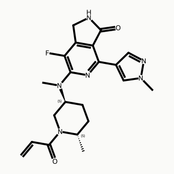 C=CC(=O)N1C[C@@H](N(C)c2nc(-c3cnn(C)c3)c3c(c2F)CNC3=O)CC[C@@H]1C